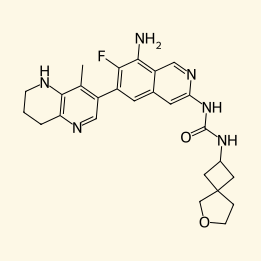 Cc1c(-c2cc3cc(NC(=O)NC4CC5(CCOC5)C4)ncc3c(N)c2F)cnc2c1NCCC2